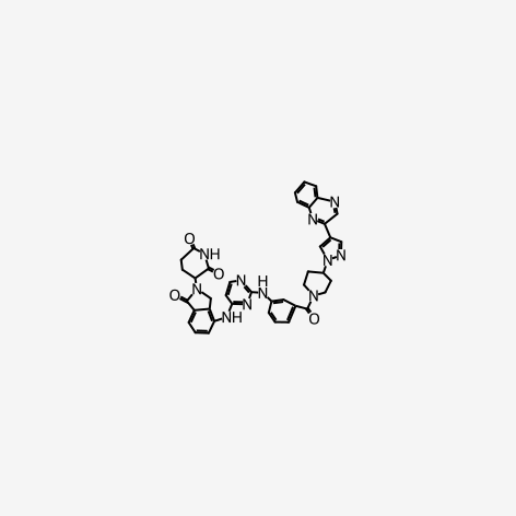 O=C1CCC(N2Cc3c(Nc4ccnc(Nc5cccc(C(=O)N6CCC(n7cc(-c8cnc9ccccc9n8)cn7)CC6)c5)n4)cccc3C2=O)C(=O)N1